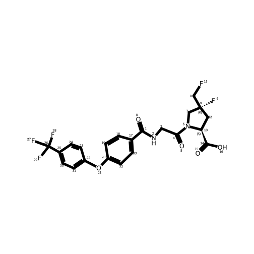 O=C(NCC(=O)N1C[C@@](F)(CF)C[C@H]1C(=O)O)c1ccc(Oc2ccc(C(F)(F)F)cc2)cc1